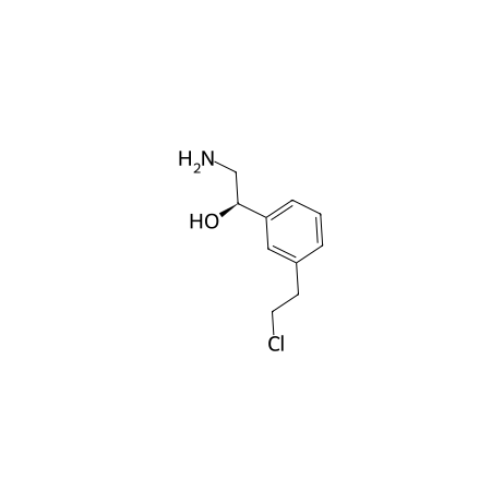 NC[C@H](O)c1cccc(CCCl)c1